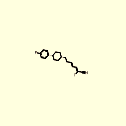 N#CC(F)=CC=CCC[C@H]1CC[C@H](c2ccc(F)cc2)CC1